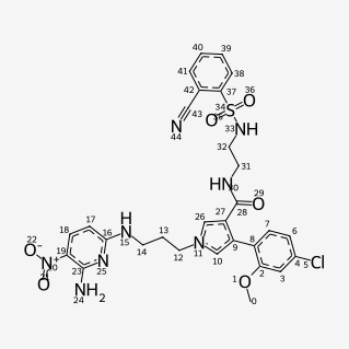 COc1cc(Cl)ccc1-c1cn(CCCNc2ccc([N+](=O)[O-])c(N)n2)cc1C(=O)NCCNS(=O)(=O)c1ccccc1C#N